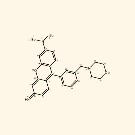 CCCCN(CCCC)c1ccc2c(-c3cccc(CN4CCOCC4)c3)c3ccc(=N)cc-3oc2c1